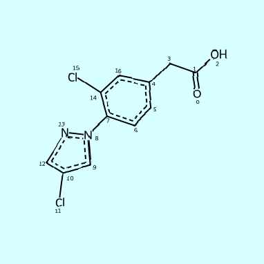 O=C(O)Cc1ccc(-n2cc(Cl)cn2)c(Cl)c1